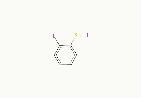 ISc1ccccc1I